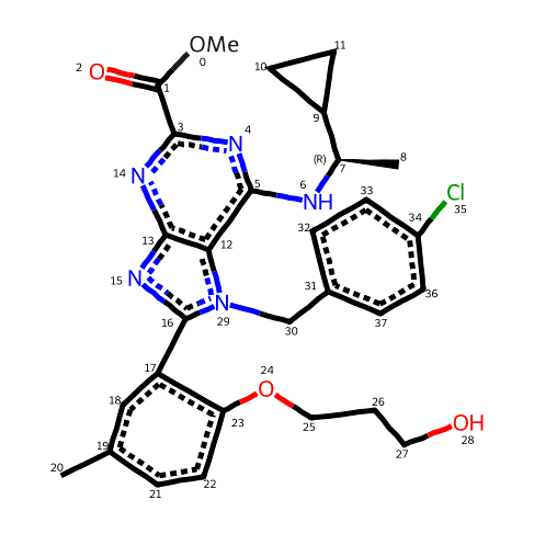 COC(=O)c1nc(N[C@H](C)C2CC2)c2c(n1)nc(-c1cc(C)ccc1OCCCO)n2Cc1ccc(Cl)cc1